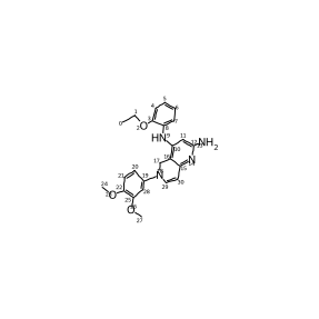 CCOc1ccccc1Nc1cc(N)nc2c1CN(c1ccc(OC)c(OC)c1)C=C2